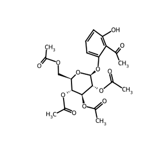 CC(=O)OC[C@H]1O[C@@H](Oc2cccc(O)c2C(C)=O)[C@H](OC(C)=O)[C@@H](OC(C)=O)[C@@H]1OC(C)=O